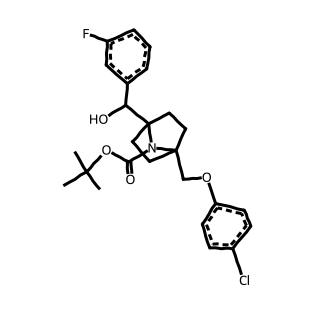 CC(C)(C)OC(=O)N1C2(COc3ccc(Cl)cc3)CCC1(C(O)c1cccc(F)c1)CC2